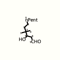 CCCCCCCC(C)(C)C(O)CC=O